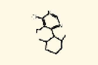 CC1CCCC(C)C1c1ncnc(Cl)c1F